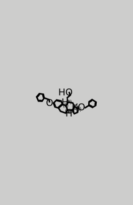 C[C@]12C[C@H](CCO)[C@@H]3c4ccc(OCc5ccccc5)cc4CC[C@H]3[C@@H]1CC[C@@H]2OCc1ccccc1